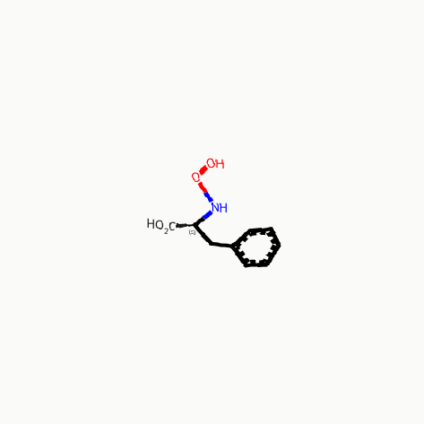 O=C(O)[C@H](Cc1ccccc1)NOO